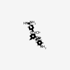 Cc1cc(OCC2CCN(C(=N)N)CC2)cc(OS(=O)(=O)c2ccc(N)cc2)c1.Cl